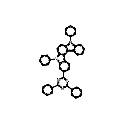 c1ccc(-c2nc(-c3ccccc3)nc(-c3ccc4c5c6c7ccccc7n(-c7ccccc7)c6ccc5n(-c5ccccc5)c4c3)n2)cc1